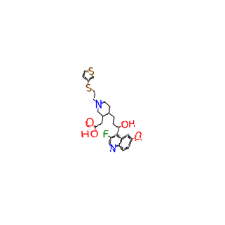 COc1ccc2ncc(F)c(C(O)CCC3CCN(CCSc4ccsc4)CC3CC(=O)O)c2c1